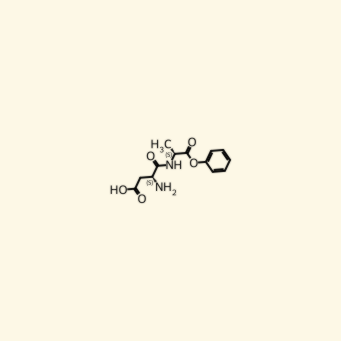 C[C@H](NC(=O)[C@@H](N)CC(=O)O)C(=O)Oc1ccccc1